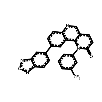 O=c1ccc2cnc3ccc(-c4ccc5nonc5c4)cc3c2n1-c1cccc(C(F)(F)F)c1